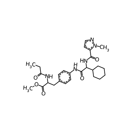 CCC(=O)NC(Cc1ccc(NC(=O)C(NC(=O)c2ccnn2C)C2CCCCC2)cc1)C(=O)OC